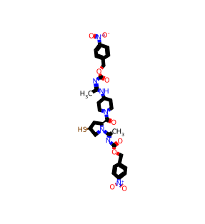 CC(=NC(=O)OCc1ccc([N+](=O)[O-])cc1)NC1CCN(C(=O)[C@@H]2C[C@H](S)CN2C(C)=NC(=O)OCc2ccc([N+](=O)[O-])cc2)CC1